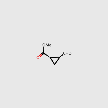 COC(=O)[C@@H]1C[C@@H]1C=O